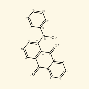 O=C1c2ccccc2C(=O)c2c1cccc2N(Cl)c1ccccc1